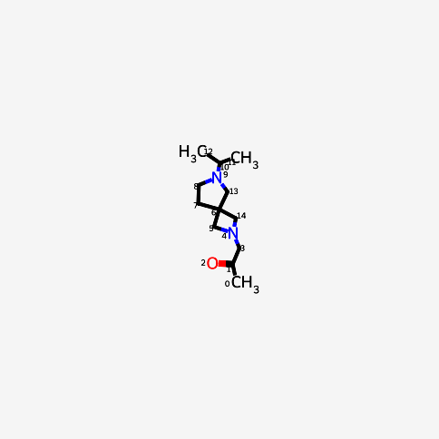 CC(=O)CN1CC2(CCN(C(C)C)C2)C1